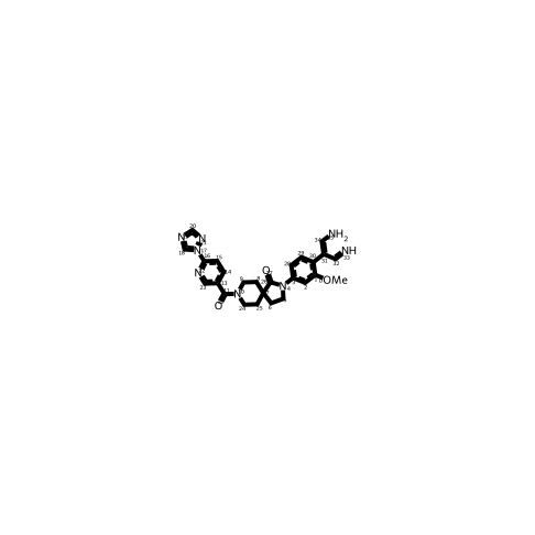 COc1cc(N2CCC3(CCN(C(=O)c4ccc(-n5cncn5)nc4)CC3)C2=O)ccc1/C(C=N)=C/N